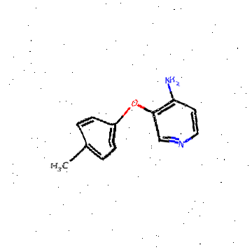 Cc1ccc(Oc2cnccc2N)cc1